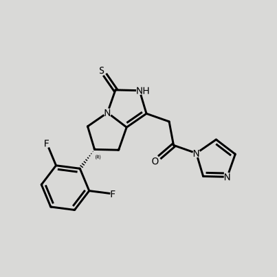 O=C(Cc1[nH]c(=S)n2c1C[C@H](c1c(F)cccc1F)C2)n1ccnc1